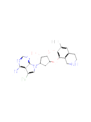 Cc1cc2c(c(OC3CC(n4cc(Br)c5c(N)ncnc54)[C@H](O)[C@@H]3O)c1)CNCC2